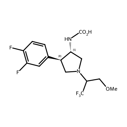 COCC(N1C[C@@H](NC(=O)O)[C@H](c2ccc(F)c(F)c2)C1)C(F)(F)F